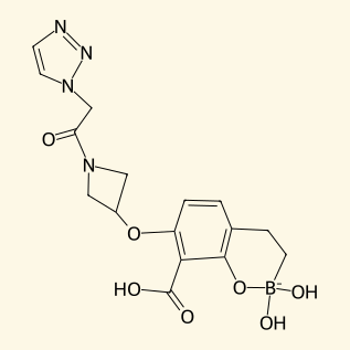 O=C(O)c1c(OC2CN(C(=O)Cn3ccnn3)C2)ccc2c1O[B-](O)(O)CC2